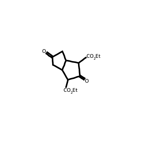 CCOC(=O)C1C(=O)C(C(=O)OCC)C2CC(=O)CC12